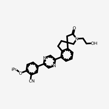 CC(C)Oc1ccc(-c2cnc(-c3cccc4c3CCC43CC(=O)N(CCO)C3)cn2)cc1C#N